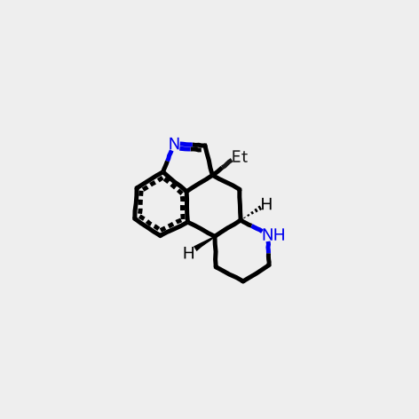 CCC12C=Nc3cccc(c31)[C@H]1CCCN[C@@H]1C2